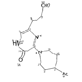 CC(=O)C1CCN(c2nc(CCC=O)c[nH]c2=O)CC1